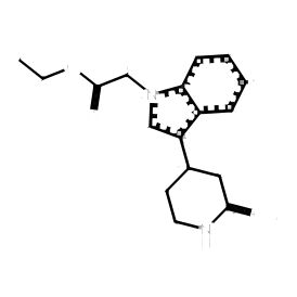 CCOC(=O)Cn1cc(C2CCNC(=O)C2)c2ccccc21